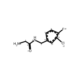 NCC(=O)NCc1ccc(F)c(Cl)c1